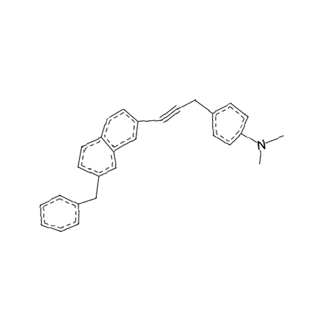 CN(C)c1ccc(CC#Cc2ccc3ccc(Cc4ccccc4)cc3c2)cc1